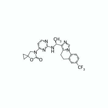 C[C@H](Nc1nccc(N2CC3(CC3)OC2=O)n1)c1ncn2c1CCc1cc(C(F)(F)F)ccc1-2